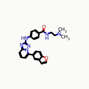 CN(C)CCNC(=O)c1ccc(Nc2nc3cccc(-c4ccc5occc5c4)n3n2)cc1